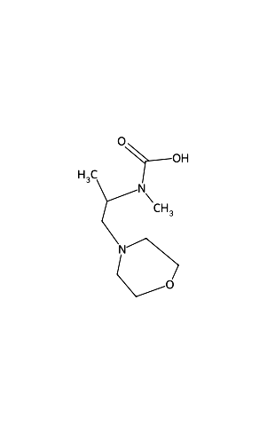 CC(CN1CCOCC1)N(C)C(=O)O